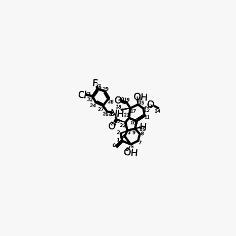 C=C1C[C@]23C[C@@]1(O)CC[C@H]2C1=C[C@@H](OC)[C@H](O)[C@@](C)(C=O)C1[C@@H]3C(=O)NCc1ccc(F)c(Cl)c1